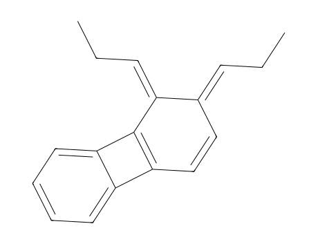 CCC=c1ccc2c(c1=CCC)-c1ccccc1-2